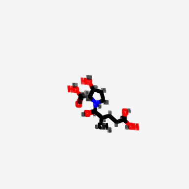 CC(CCC(=O)O)C(=O)N1CCC(O)[C@H]1C(=O)O